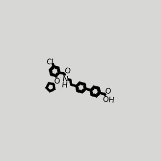 O=C(O)c1ccc(-c2ccc(CCNC(=O)c3cc(Cl)ccc3OC3CCCC3)cc2)cc1